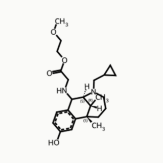 COCCOC(=O)CNC1c2ccc(O)cc2[C@@]2(C)CCCN(CC3CC3)[C@H]1[C@@H]2C